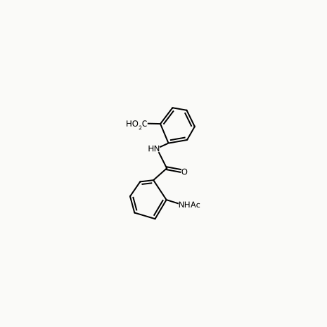 CC(=O)Nc1ccccc1C(=O)Nc1ccccc1C(=O)O